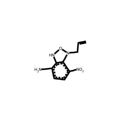 C=CCN1ONc2c(N)ccc([N+](=O)[O-])c21